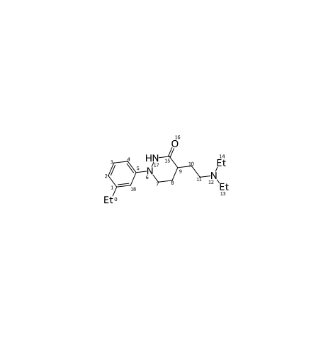 CCc1cccc(N2CCC(CCN(CC)CC)C(=O)N2)c1